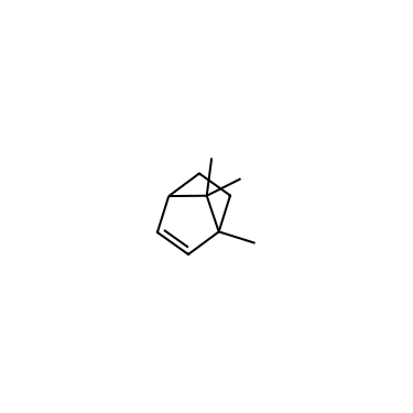 CC12C=CC(CC1)C2(C)C